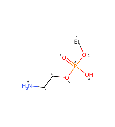 CCOP(=O)(O)OCCN